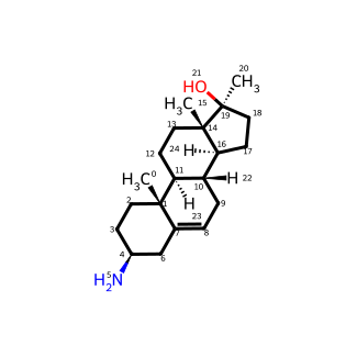 C[C@]12CC[C@H](N)CC1=CC[C@@H]1[C@@H]2CC[C@@]2(C)[C@H]1CC[C@]2(C)O